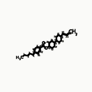 CCCCCc1ccc(C(=O)OC2CCC(C3CCC(CCC)CC3)CC2)cc1